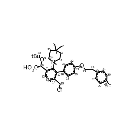 CC1(C)CCN(c2c([C@H](OC(C)(C)C)C(=O)O)cnc(CCl)c2-c2ccc(OCCc3ccc(F)cc3)cc2)CC1